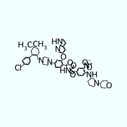 CC1(C)CCC(CN2CCN(c3ccc(C(=O)NS(=O)(=O)c4ccc(NC5CCCN(C6CCOCC6)C5)c([N+](=O)[O-])c4)c(Oc4cnc5[nH]ccc5c4)c3)CC2)=C(c2ccc(Cl)cc2)C1